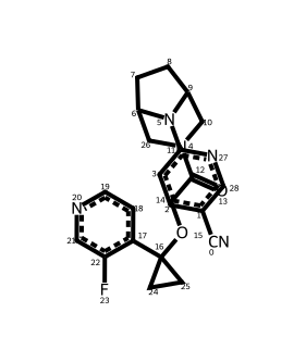 N#Cc1ccc(N2C3CCC2CN(C(=O)COC2(c4ccncc4F)CC2)C3)nc1